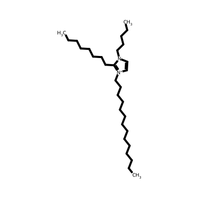 CCCCCCCCCCCCCC[n+]1ccn(CCCCC)c1CCCCCCCC